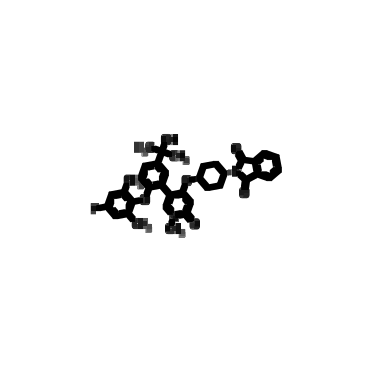 Cc1cc(F)cc(C)c1Oc1ccc(C(C)(C)O)cc1-c1cn(C)c(=O)cc1O[C@H]1CC[C@H](N2C(=O)c3ccccc3C2=O)CC1